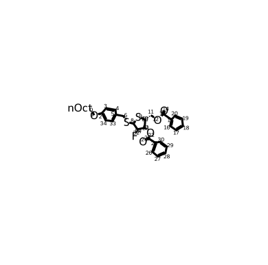 CCCCCCCCOc1ccc(CSC2S[C@H](COC(=O)c3ccccc3)[C@@H](OC(=O)c3ccccc3)[C@@H]2F)cc1